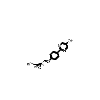 CCC[C@@H]1O[C@H]1COc1ccc(-c2ncc(O)cn2)cc1